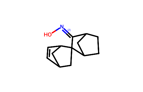 O/N=C1/C2CCC(C2)C12CC1C=CC2C1